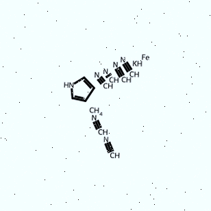 C.C#N.C#N.C#N.C#N.C#N.C#N.[Fe].[KH].c1cc[nH]c1